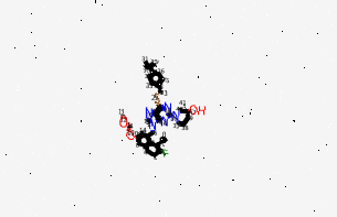 C#Cc1c(F)ccc2cc(OCOC)cc(Cn3cnc4c(SCc5ccc(C(C)(C)C)cc5)nc(N5CCC[C@](C)(O)C5)nc43)c12